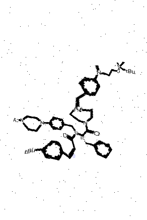 CC(=O)N1CCN(c2ccc(CN(C(=O)/C=C\c3ccc(C(C)(C)C)cc3)[C@@H](Cc3ccccc3)C(=O)N3CCN(Cc4ccc(N(C)CCO[Si](C)(C)C(C)(C)C)cc4)CC3)cc2)CC1